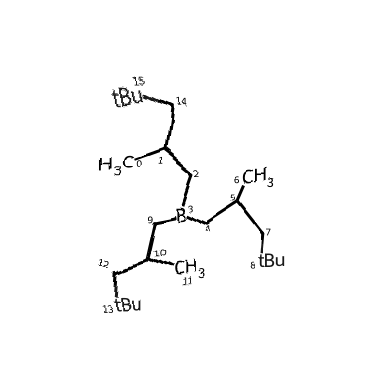 CC(CB(CC(C)CC(C)(C)C)CC(C)CC(C)(C)C)CC(C)(C)C